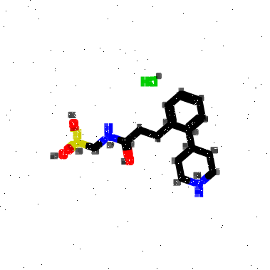 Cl.O=C(CCc1ccccc1C1CCNCC1)NC[SH](=O)=O